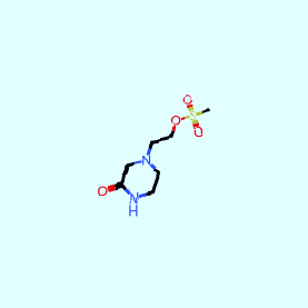 CS(=O)(=O)OCCN1CCNC(=O)C1